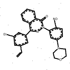 C=Cc1cc(CC)cc(-c2nn(-c3cc(N4CCOCC4)ccc3N=O)c(=O)c3ccccc23)c1